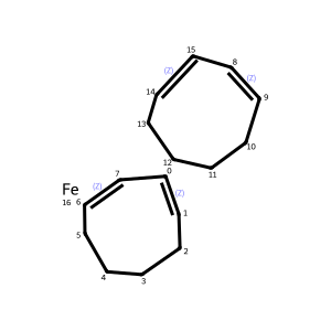 C1=C\CCCC\C=C/1.C1=C\CCCC\C=C/1.[Fe]